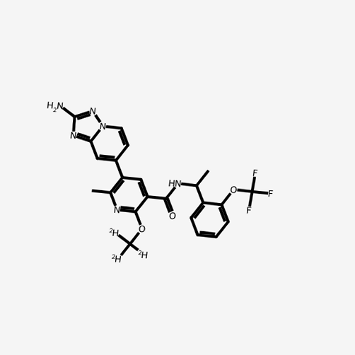 [2H]C([2H])([2H])Oc1nc(C)c(-c2ccn3nc(N)nc3c2)cc1C(=O)NC(C)c1ccccc1OC(F)(F)F